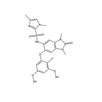 CCCOc1cc(OCCC)c(F)c(Oc2cc3c(cc2NS(=O)(=O)c2nc(C)cn2C)n(C)c(=O)n3C)c1